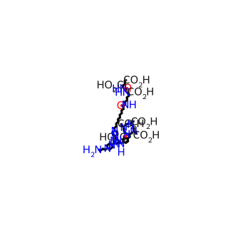 NCCCN1CCN(c2nc(Nc3ccc(CC4CN(CC(=O)O)CCN(CC(=O)O)CCN(CC(=O)O)CCN4CC(=O)O)cc3)nc(N3CCN(CCCCCCCCCCC(=O)NCCCC[C@H](NC(=O)N[C@@H](CCC(=O)O)C(=O)O)C(=O)O)CC3)n2)CC1